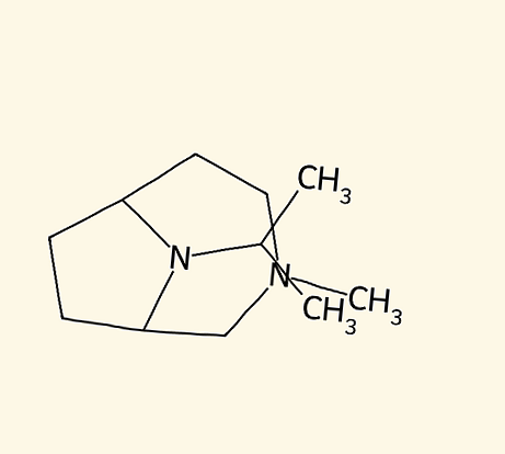 CC(C)N1C2CCC1CN(C)CC2